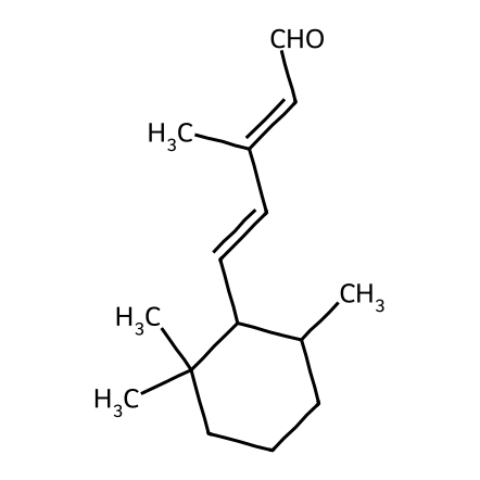 CC(/C=C/C1C(C)CCCC1(C)C)=C\C=O